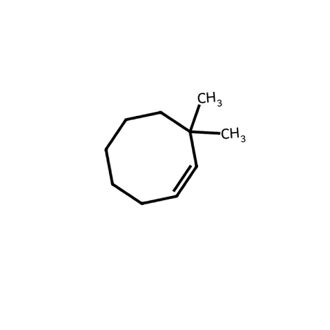 CC1(C)C=CCCCCC1